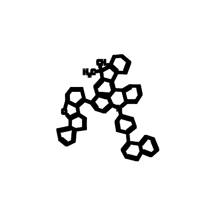 CC1(C)C2=C(C=CCC2)c2c(-c3ccccc3N(c3ccc(-c4cccc5ccccc45)cc3)c3ccc(-c4cccc5oc6c7ccccc7ccc6c45)cc3)cccc21